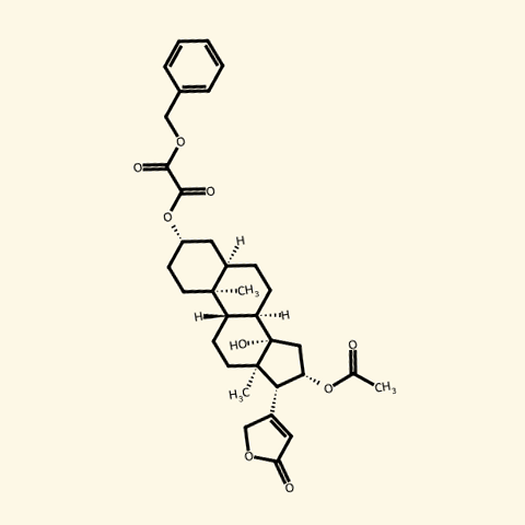 CC(=O)O[C@H]1C[C@]2(O)[C@@H]3CC[C@@H]4C[C@@H](OC(=O)C(=O)OCc5ccccc5)CC[C@]4(C)[C@H]3CC[C@]2(C)[C@H]1C1=CC(=O)OC1